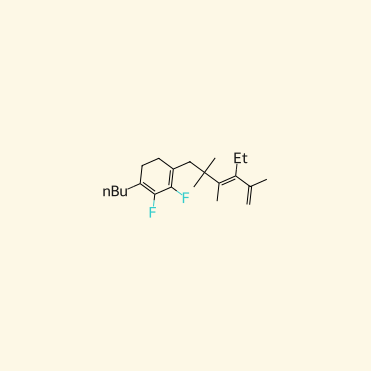 C=C(C)/C(CC)=C(\C)C(C)(C)CC1=C(F)C(F)=C(CCCC)CC1